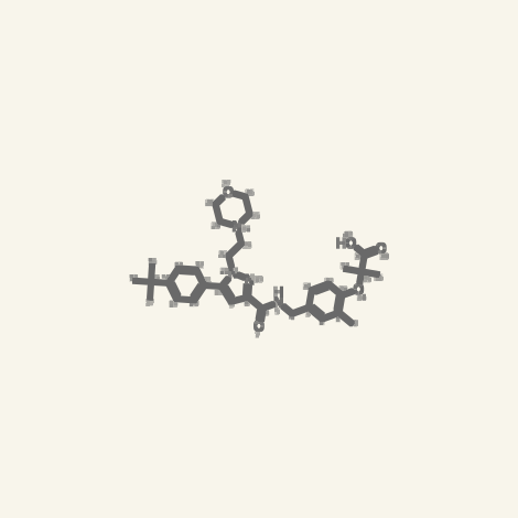 Cc1cc(CNC(=O)c2cc(-c3ccc(C(C)(C)C)cc3)n(CCN3CCOCC3)n2)ccc1OC(C)(C)C(=O)O